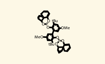 COc1cc(-c2cc(OC)cc(C(C)(C)C)c2OP2OC3=CC=CCC34C=CC=CC4O2)c(OP2OC3=CC=CCC34C=CC=CC4O2)c(C(C)(C)C)c1